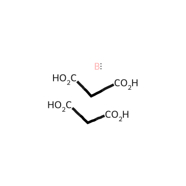 O=C(O)CC(=O)O.O=C(O)CC(=O)O.[B]